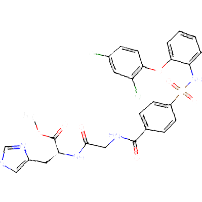 COC(=O)[C@H](Cc1c[nH]cn1)NC(=O)CNC(=O)c1ccc(S(=O)(=O)Nc2ccccc2Oc2ccc(Cl)cc2Cl)cc1